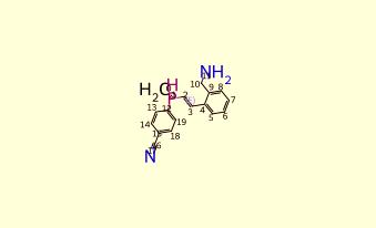 C=[PH](/C=C/c1ccccc1CN)c1ccc(C#N)cc1